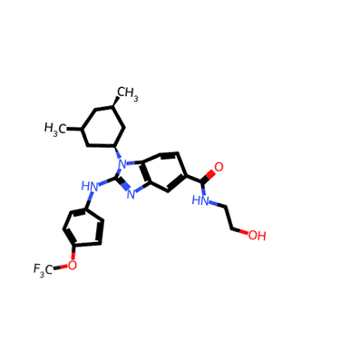 CC1C[C@@H](C)C[C@@H](n2c(Nc3ccc(OC(F)(F)F)cc3)nc3cc(C(=O)NCCO)ccc32)C1